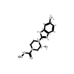 CC[C@@H]1CN(C(=O)OC(C)(C)C)CCN1c1nc2ccc(C(F)(F)F)cc2s1